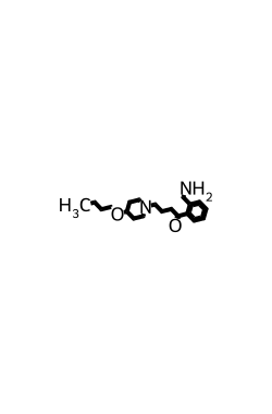 CCCCOC1CCN(CCCC(=O)c2ccccc2CN)CC1